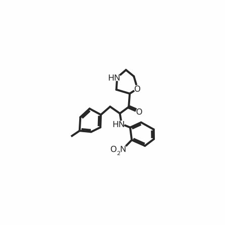 Cc1ccc(CC(Nc2ccccc2[N+](=O)[O-])C(=O)C2CNCCO2)cc1